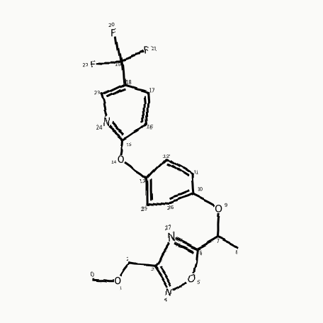 COCc1noc(C(C)Oc2ccc(Oc3ccc(C(F)(F)F)cn3)cc2)n1